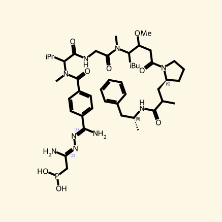 CCC(C)C(C(CC(=O)N1CCC[C@H]1CC(C)C(=O)N[C@H](C)Cc1ccccc1)OC)N(C)C(=O)CNC(=O)C(C(C)C)N(C)C(=O)c1ccc(/C(N)=N/N=C(\N)CP(O)O)cc1